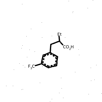 CCC(Cc1cccc(C(F)(F)F)c1)C(=O)O